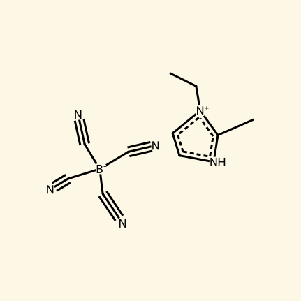 CC[n+]1cc[nH]c1C.N#C[B-](C#N)(C#N)C#N